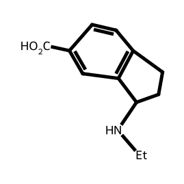 CCNC1CCc2ccc(C(=O)O)cc21